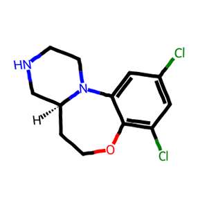 Clc1cc(Cl)c2c(c1)N1CCNC[C@@H]1CCO2